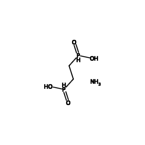 N.O=[PH](O)CC[PH](=O)O